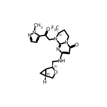 Cn1nccc1C(=O)CN1c2nc(NC[C@H]3OC[C@@H]4CC43)cc(=O)n2CC[C@H]1C(F)(F)F